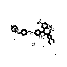 CCCCC1(CCCC)CS(=O)(=O)c2ccc(N(C)C)cc2C(c2ccc(OCc3ccc(C[N+]45CCN(CC4)CC5)cc3)cc2)C1O.[Cl-]